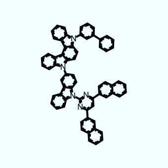 c1ccc(-c2cccc(-n3c4ccccc4c4c5c6ccccc6n(-c6ccc7c(c6)c6ccccc6n7-c6nc(-c7ccc8ccccc8c7)cc(-c7ccc8ccccc8c7)n6)c5ccc43)c2)cc1